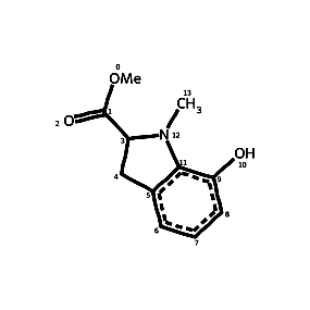 COC(=O)C1Cc2cccc(O)c2N1C